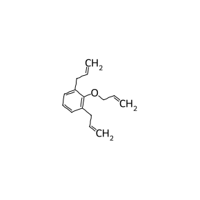 C=CCOc1c(CC=C)cccc1CC=C